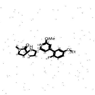 CCOc1ccc(F)c(-c2cc(OC)nc([C@@H]3CC[C@@]4(CCN(C)C4=O)N3)c2)c1